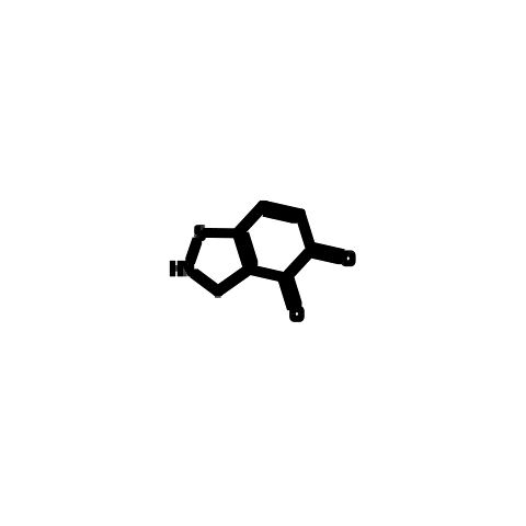 O=C1C=CC2=C([CH]NS2)C1=O